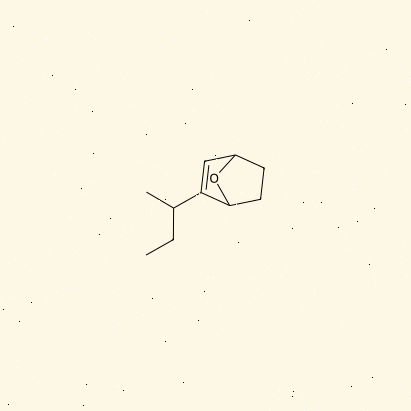 CCC(C)C1=CC2CCC1O2